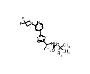 C[C@H](NC(=O)OC(C)(C)C)c1nc(-c2ccnc(N3CC(F)(F)C3)c2)no1